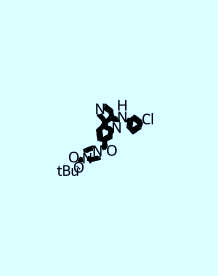 CC(C)(C)OC(=O)N1CCN(C(=O)c2ccc3c(c2)nc(Nc2cccc(Cl)c2)c2ccncc23)CC1